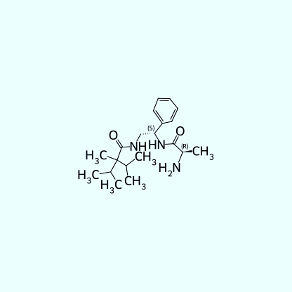 CC(C)C(C)(C(=O)NC[C@@H](NC(=O)[C@@H](C)N)c1ccccc1)C(C)C